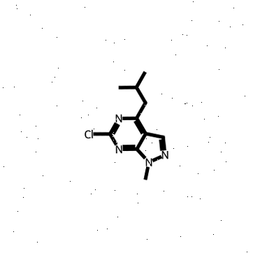 CC(C)Cc1nc(Cl)nc2c1cnn2C